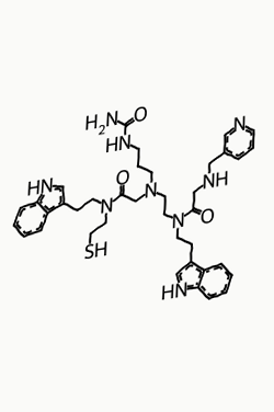 NC(=O)NCCCN(CCN(CCc1c[nH]c2ccccc12)C(=O)CNCc1cccnc1)CC(=O)N(CCS)CCc1c[nH]c2ccccc12